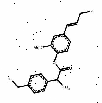 COc1cc(/C=C/CC(C)C)ccc1OC(=O)C(C)c1ccc(CC(C)C)cc1